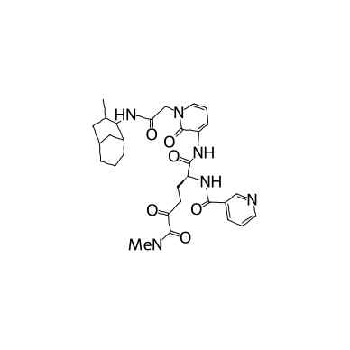 CNC(=O)C(=O)CC[C@H](NC(=O)c1cccnc1)C(=O)Nc1cccn(CC(=O)NC2C(C)CC3CCCC2C3)c1=O